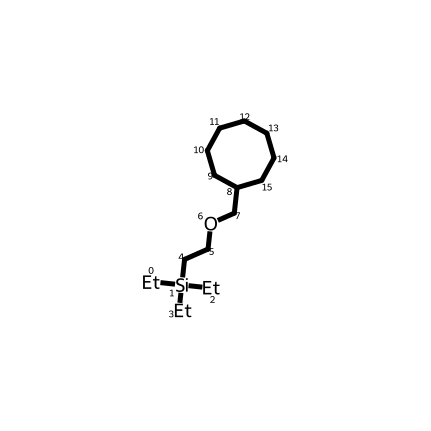 CC[Si](CC)(CC)CCOCC1CCCCCCC1